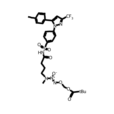 Cc1ccc(-c2cc(C(F)(F)F)nn2-c2ccc(S(=O)(=O)NC(=O)CCCN(C)[N+]([O-])=NOCOC(=O)C(C)(C)C)cc2)cc1